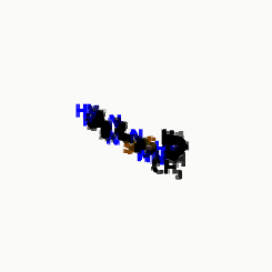 CN(c1nc2sc(-c3cnc(-c4cn[nH]c4)cn3)nc2s1)C1C[C@H]2CC[C@@H](C1)N2